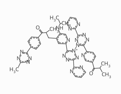 Cc1nnc(-c2ccc(C(=O)C(C)Cc3cc(-c4nnc(-c5ncccn5)n[n+]4-[n+]4nc(-c5ncccn5)nnc4-c4ccc(C(=O)C(C)C)cn4)ncc3NC(C)C)cc2)nn1